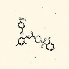 COc1ccc(/C=C/c2cc(C)cc(C)c2/C=C/C(=O)N2CCN(S(=O)(=O)c3ccccc3F)CC2)cc1